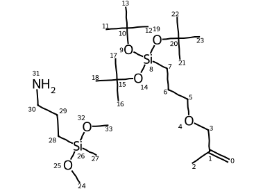 C=C(C)COCCC[Si](OC(C)(C)C)(OC(C)(C)C)OC(C)(C)C.CO[Si](C)(CCCN)OC